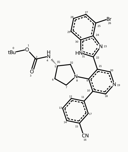 CC(C)(C)OC(=O)N[C@H]1CCN(c2c(-c3cccc(C#N)c3)cncc2-c2nc3c(Br)cccc3[nH]2)C1